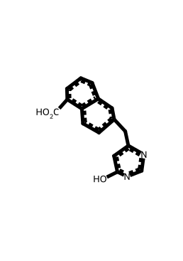 O=C(O)c1cccc2cc(Cc3cc(O)ncn3)ccc12